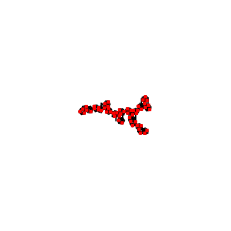 c1ccc(-n2c3ccccc3c3cc(-c4ccc5c(c4)c4ccc(-c6ccc7c8cc(-c9ccc%10c(c9)c9ccccc9n%10-c9ccc%10cc(-c%11ccc%12c(ccc%13ccccc%13%12)c%11)ccc%10c9)ccc8n(-c8ccccc8)c7c6)cc4n5-c4ccc5ccc(-c6ccc7c(ccc8ccccc87)c6)cc5c4)ccc32)cc1